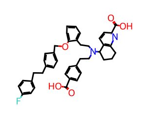 O=C(O)c1ccc(CCN(CCc2ccccc2OCc2ccc(CCc3ccc(F)cc3)cc2)C2CCCc3nc(C(=O)O)ccc32)cc1